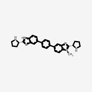 Cn1c([C@@H]2CCCN2)nc2cc(-c3ccc(-c4ccc5[nH]c([C@@H]6CCCN6)nc5c4)cc3)ccc21